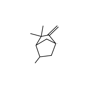 C=C1[C]2CC(C)C(C2)C1(C)C